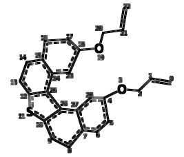 C=CCOc1ccc2ccc3sc4ccc5ccc(OCC=C)cc5c4c3c2c1